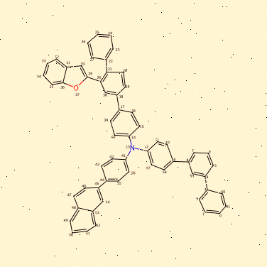 c1ccc(-c2cccc(-c3ccc(N(c4ccc(-c5ccc(-c6ccccc6)c(-c6cc7ccccc7o6)c5)cc4)c4ccc(-c5ccc6ccccc6c5)cc4)cc3)c2)cc1